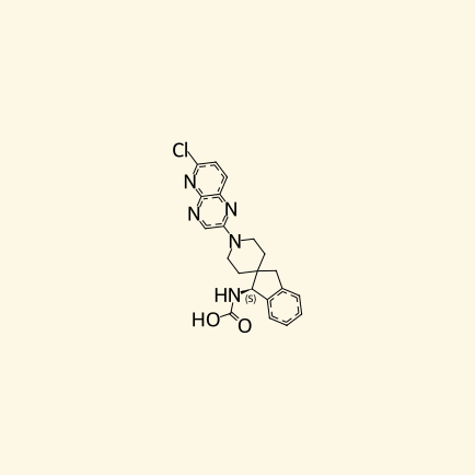 O=C(O)N[C@@H]1c2ccccc2CC12CCN(c1cnc3nc(Cl)ccc3n1)CC2